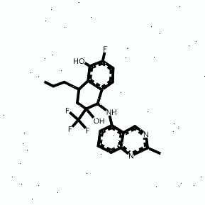 CCCC1CC(O)(C(F)(F)F)C(Nc2cccc3nc(C)ncc23)c2ccc(F)c(O)c21